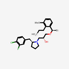 CC[C@@H](OC[C@H](O)CN1CCC[C@H]1Cc1ccc(Cl)c(F)c1)c1cccc(OC)c1CCC(=O)O